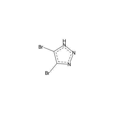 Brc1nn[nH]c1Br